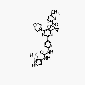 Cc1csc(S(=O)(=O)C2(c3cc(N4CCOCC4)nc(-c4ccc(NC(=O)Nc5c[nH]nc5C)cc4)n3)CC2)n1